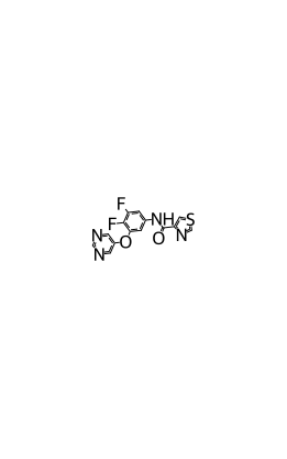 O=C(Nc1cc(F)c(F)c(Oc2cncnc2)c1)c1cscn1